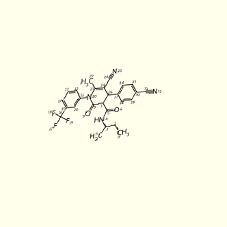 CCC(C)NC(=O)C1C(=O)N(c2cccc(C(F)(F)F)c2)C(C)=C(C#N)C1c1ccc(C#N)cc1